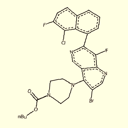 CCCCOC(=O)N1CCN(c2c(Br)cnc3c(F)c(-c4cccc5ccc(F)c(Cl)c45)ncc23)CC1